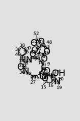 CO[C@]1(C)C[C@H](O[C@H]2[C@H](C)[C@@H](O[C@@H]3OC(C)C[C@H](N(C)C)[C@H]3O)[C@H](O)C[C@@H](C)CN(C)C(=O)C(Cc3ccccc3)NC(=O)[C@@H]2C)O[C@@H](C)[C@@H]1OC(C)=O